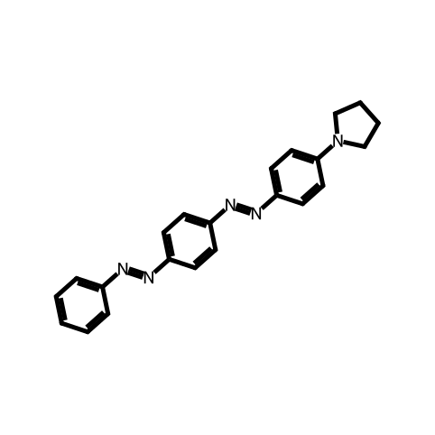 c1ccc(N=Nc2ccc(N=Nc3ccc(N4CCCC4)cc3)cc2)cc1